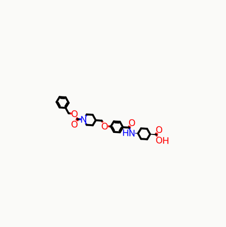 O=C(N[C@H]1CC[C@H](C(=O)O)CC1)c1ccc(OCC2CCN(C(=O)OCc3ccccc3)CC2)cc1